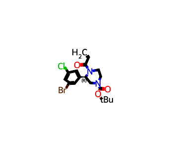 C=CC(=O)N1CCN(C(=O)OC(C)(C)C)C[C@H]1c1cc(Cl)cc(Br)c1